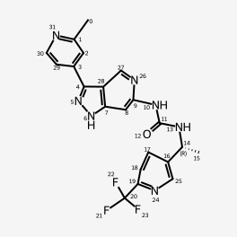 Cc1cc(-c2n[nH]c3cc(NC(=O)N[C@H](C)c4ccc(C(F)(F)F)nc4)ncc23)ccn1